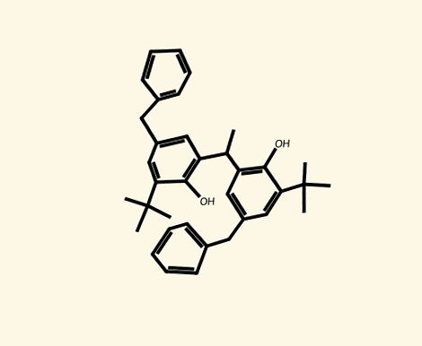 CC(c1cc(Cc2ccccc2)cc(C(C)(C)C)c1O)c1cc(Cc2ccccc2)cc(C(C)(C)C)c1O